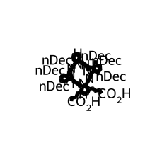 CCCCCCCCCCc1ccc(CCCCCCCCCC)c2c1-c1nc-2nc2[nH]c(nc3nc(nc4[nH]c(n1)c1c(CCCCCCCCCC)ccc(CCCCCCCCCC)c41)-c1c(CCCCCCCCCC)ccc(CCCCCCCCCC)c1-3)c1c(CCCC(=O)O)ccc(CCCC(=O)O)c21